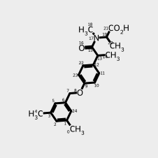 Cc1cc(C)cc(COc2ccc(C(C)C(=O)N(C)C(C)C(=O)O)cc2)c1